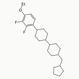 CCOc1ccc(C2CCC(C3CCC(CC4CCCC4)CC3)CC2)c(F)c1F